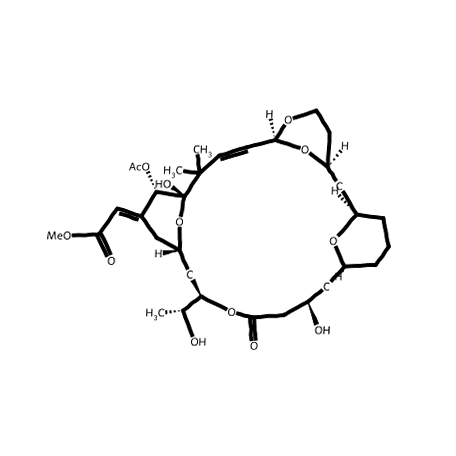 COC(=O)/C=C1\C[C@H]2C[C@H]([C@@H](C)O)OC(=O)C[C@H](O)C[C@@H]3CCC[C@H](C[C@@H]4CCO[C@H](/C=C/C(C)(C)[C@](O)(O2)[C@H]1OC(C)=O)O4)O3